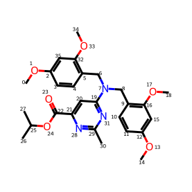 COc1ccc(CN(Cc2ccc(OC)cc2OC)c2cc(C(=O)OC(C)C)nc(C)n2)c(OC)c1